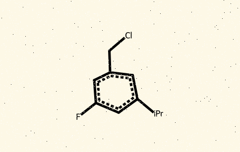 CC(C)c1cc(F)cc(CCl)c1